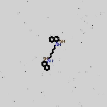 Sc1ccc2ccccc2c1NCCCCCCCNc1c(S)ccc2ccccc12